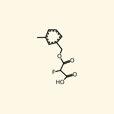 Cc1cccc(COC(=O)C(F)C(=O)O)c1